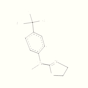 CC(=O)OC(c1ccc(N(C)C2=NCCO2)cc1)(C(F)(F)F)C(F)(F)F